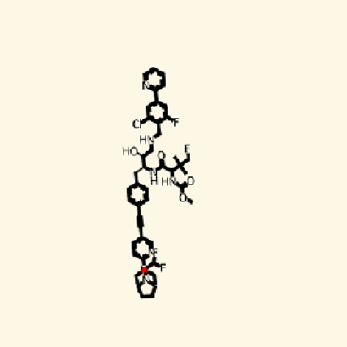 COC(=O)NC(C(=O)N[C@@H](Cc1ccc(C#Cc2ccc(N3CC4CCC(C3)N4CC(F)F)nc2)cc1)[C@@H](O)CNCc1c(F)cc(-c2ccccn2)cc1Cl)C(C)(C)CF